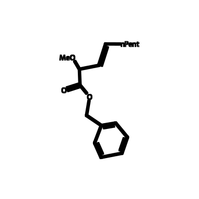 CCCCC/C=C/C(OC)C(=O)OCc1ccccc1